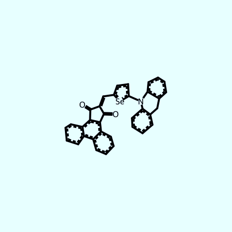 O=C1C(=Cc2ccc(N3c4ccccc4Cc4ccccc43)[se]2)C(=O)c2c1c1ccccc1c1ccccc21